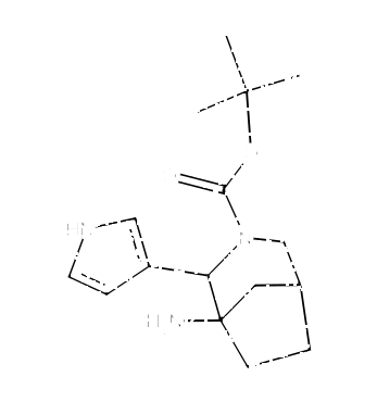 CC(C)(C)OC(=O)N1CC2CCC(N)(C2)C1c1cc[nH]c1